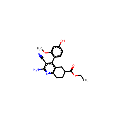 CCOC(=O)C1CCc2nc(N)c(C#N)c(-c3ccc(O)cc3OC)c2C1